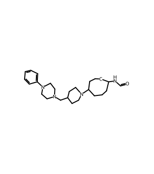 O=CNC1CCCC(N2CCC(CN3CCN(c4ccccc4)CC3)CC2)CCC1